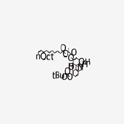 CCCCCCCC/C=C\CCCCCCCC(=O)O[C@@H](C)C(=O)OC1=CC[C@@]2(O)[C@H]3Cc4ccc(OC(=O)OC(C)(C)C)c5c4[C@@]2(CCN3C)[C@H]1O5